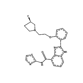 O=C(Nc1nccs1)c1cccc2[nH]c(-c3ccccc3OCCN3CC[C@@H](F)C3)nc12